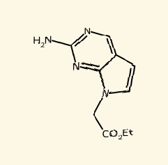 CCOC(=O)Cn1ccc2cnc(N)nc21